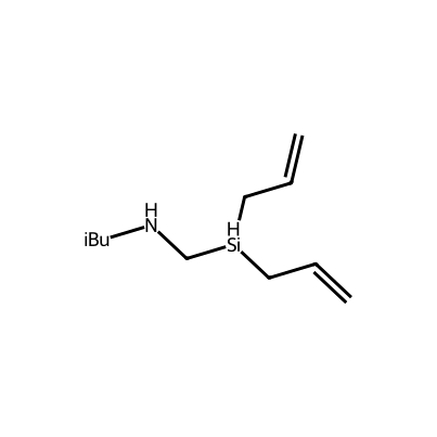 C=CC[SiH](CC=C)CNC(C)CC